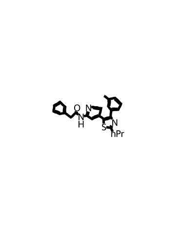 CCCc1nc(-c2cccc(C)c2)c(-c2ccnc(NC(=O)Cc3ccccc3)c2)s1